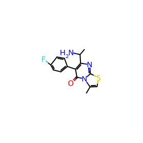 Cc1csc2nc(C(C)N)c(-c3ccc(F)cc3)c(=O)n12